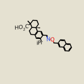 CC(C)c1cc2c(cc1/C=N/OCc1ccc3ccccc3c1)[C@@]1(C)CCCC(C)(C(=O)O)C1CC2